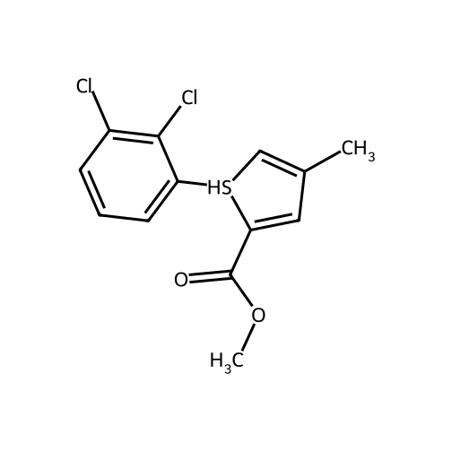 COC(=O)C1=CC(C)=C[SH]1c1cccc(Cl)c1Cl